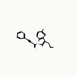 Cc1c(CC(=O)O)c2cc(O)ccc2n1C(=O)C#Cc1ccccc1